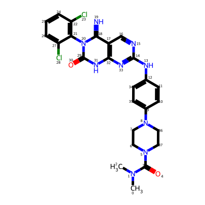 CN(C)C(=O)N1CCN(c2ccc(Nc3ncc4c(=N)n(-c5c(Cl)cccc5Cl)c(=O)[nH]c4n3)cc2)CC1